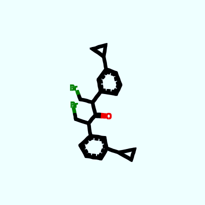 O=C(C(CBr)c1cccc(C2CC2)c1)C(CBr)c1cccc(C2CC2)c1